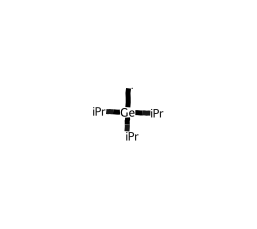 [CH2][Ge]([CH](C)C)([CH](C)C)[CH](C)C